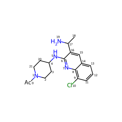 CC(=O)N1CCC(Nc2nc3c(Cl)cccc3cc2C(C)N)CC1